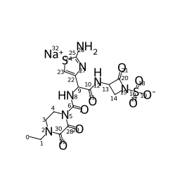 CCN1CCN(C(=O)NC(C(=O)NC2CN(S(=O)(=O)[O-])C2=O)c2csc(N)n2)C(=O)C1=O.[Na+]